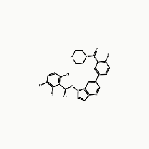 CC(On1ccc2ncc(-c3ccc(F)c(C(=O)N4CCOCC4)c3)cc21)c1c(Cl)ccc(F)c1Cl